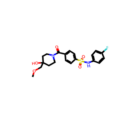 COCC1(O)CCN(C(=O)c2ccc(S(=O)(=O)Nc3ccc(F)cc3)cc2)CC1